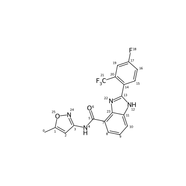 Cc1cc(NC(=O)c2cccc3[nH]c(-c4ccc(F)cc4C(F)(F)F)nc23)no1